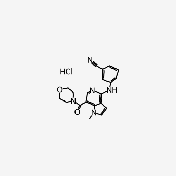 Cl.Cn1ccc2c(Nc3cccc(C#N)c3)ncc(C(=O)N3CCOCC3)c21